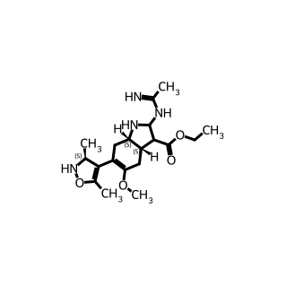 CCOC(=O)C1C(NC(C)=N)N[C@H]2CC(C3=C(C)ON[C@H]3C)=C(OC)C[C@@H]12